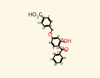 O=C(O)c1ccc(COc2ccc(C(=O)c3ccccc3)c(O)c2)cc1